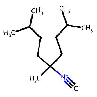 [C-]#[N+]C(C)(CCC(C)C)CCC(C)C